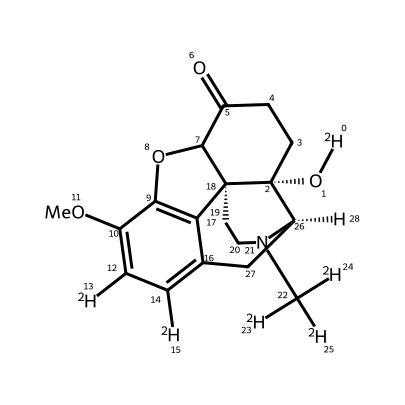 [2H]O[C@@]12CCC(=O)C3Oc4c(OC)c([2H])c([2H])c5c4[C@@]31CCN(C([2H])([2H])[2H])[C@@H]2C5